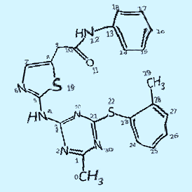 Cc1nc(Nc2ncc(CC(=O)Nc3ccccc3)s2)nc(Sc2ccccc2C)n1